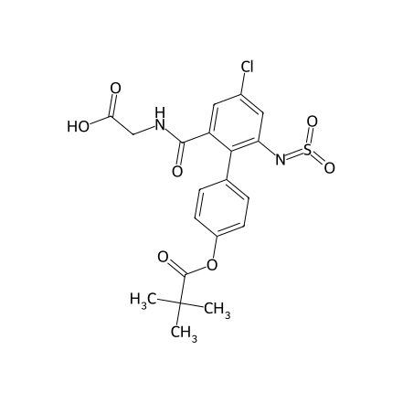 CC(C)(C)C(=O)Oc1ccc(-c2c(N=S(=O)=O)cc(Cl)cc2C(=O)NCC(=O)O)cc1